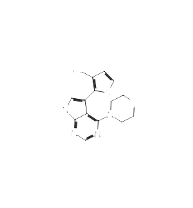 Clc1ccsc1-c1c[nH]c2ncnc(N3CCOCC3)c12